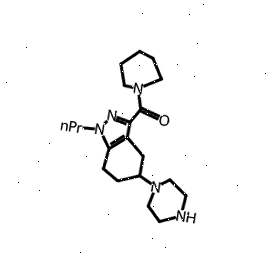 CCCn1nc(C(=O)N2CCCCC2)c2c1CCC(N1CCNCC1)C2